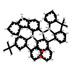 CC(C)(C)c1ccc(N2c3cc4ccccc4c4c3B(c3ccc5sc6ccccc6c5c32)N2c3ccccc3C(C)(C)c3cccc-4c32)c(-c2ccccc2)c1